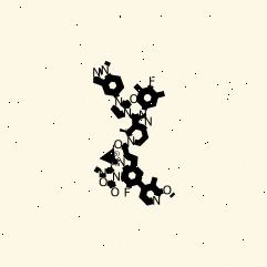 COc1nccc(-c2cc3cc(C(=O)N4CCc5nn(-c6cc(C)c(F)c(C)c6)c(-n6ccn(-c7ccc8c(cnn8C)c7)c6=O)c5[C@@H]4C)n([C@@]4(C5NC(=O)ON5C)C[C@@H]4C)c3cc2F)c1C